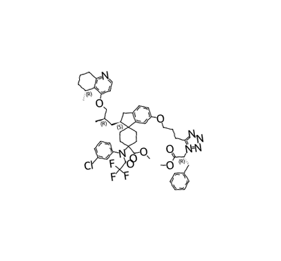 COC(=O)[C@@H](Cc1ccccc1)n1nnnc1CCCOc1ccc2c(c1)C1(CCC(C(=O)OC)(N(C(=O)C(F)(F)F)c3cccc(Cl)c3)CC1)[C@@H](C[C@@H](C)COc1ccnc3c1[C@H](C)CCC3)C2